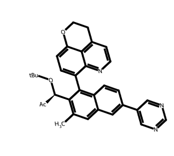 CC(=O)[C@@H](OC(C)(C)C)c1c(C)cc2cc(-c3cncnc3)ccc2c1-c1ccc2c3c(ccnc13)CCO2